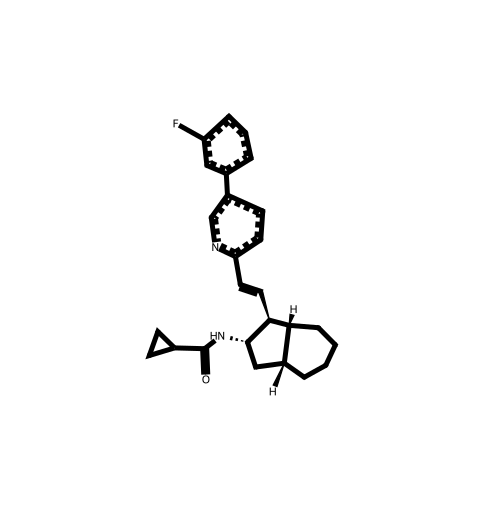 O=C(N[C@H]1C[C@H]2CCCC[C@H]2[C@@H]1C=Cc1ccc(-c2cccc(F)c2)cn1)C1CC1